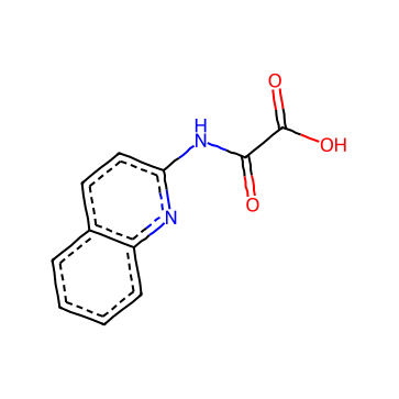 O=C(O)C(=O)Nc1ccc2ccccc2n1